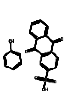 O=C1c2ccccc2C(=O)c2cc(S(=O)(=O)O)ccc21.Oc1ccccc1